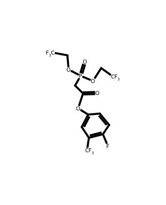 O=C(CP(=O)(OCC(F)(F)F)OCC(F)(F)F)Oc1ccc(F)c(C(F)(F)F)c1